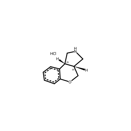 Cl.c1ccc2c(c1)OC[C@H]1CNC[C@@H]21